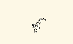 COc1ccc2cc(C(=O)C(O[Si](C)(C)C(C)(C)C)c3ccncc3)ccc2c1